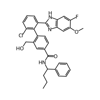 CCCC(NC(=O)c1ccc(-c2c(Cl)cccc2-c2nc3cc(OC)c(F)cc3[nH]2)c(CO)c1)c1ccccc1